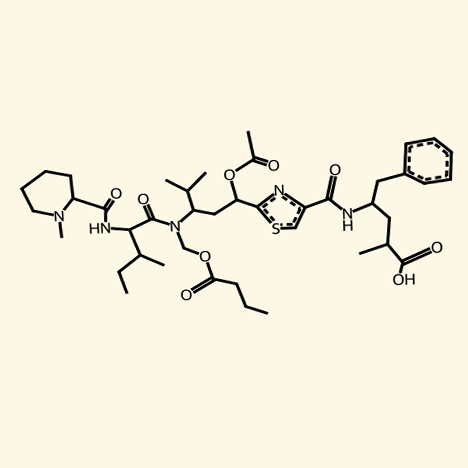 CCCC(=O)OCN(C(=O)C(NC(=O)C1CCCCN1C)C(C)CC)C(CC(OC(C)=O)c1nc(C(=O)NC(Cc2ccccc2)CC(C)C(=O)O)cs1)C(C)C